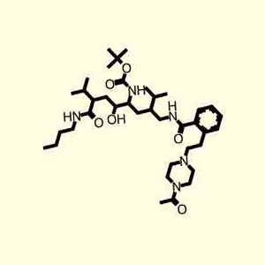 CCCCNC(=O)C(CC(O)C(CC(CNC(=O)c1ccccc1CCN1CCN(C(C)=O)CC1)C(C)C)NC(=O)OC(C)(C)C)C(C)C